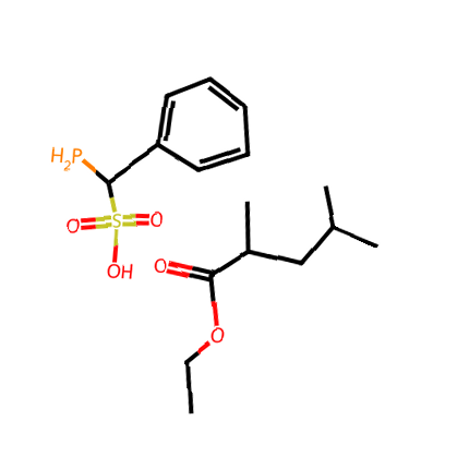 CCOC(=O)C(C)CC(C)C.O=S(=O)(O)C(P)c1ccccc1